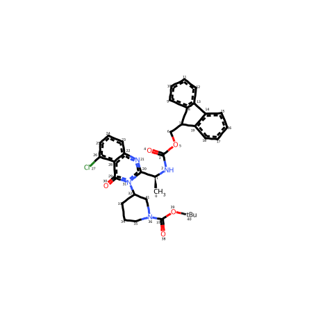 C[C@H](NC(=O)OCC1c2ccccc2-c2ccccc21)c1nc2cccc(Cl)c2c(=O)n1C1CCCN(C(=O)OC(C)(C)C)C1